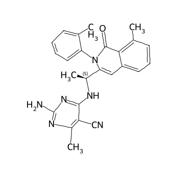 Cc1ccccc1-n1c([C@H](C)Nc2nc(N)nc(C)c2C#N)cc2cccc(C)c2c1=O